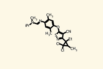 CCC1(c2nsc(Oc3cc(C)c(N=CN(C)C(C)C)cc3C)c2C#N)C(C)C1(Cl)Cl